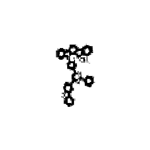 CC1(C)c2ccccc2-c2ccc3c4ccccc4n(-c4ccc(-c5cc(-c6ccc7oc8ccccc8c7c6)nc(-c6ccccc6)n5)cc4)c3c21